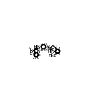 Cc1cccc(C(C)(C)C)c1NC(=O)NC[C@H]1CC[C@@H](Nc2cc(N(C)C)c3ccccc3n2)CC1